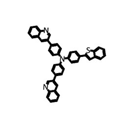 c1ccc2ncc(-c3ccc(N(c4ccc(-c5cnc6ccccc6c5)cc4)c4ccc(-c5cc6ccccc6s5)cc4)cc3)cc2c1